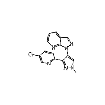 Cn1cc(-n2ncc3cccnc32)c(-c2ccc(Cl)cn2)n1